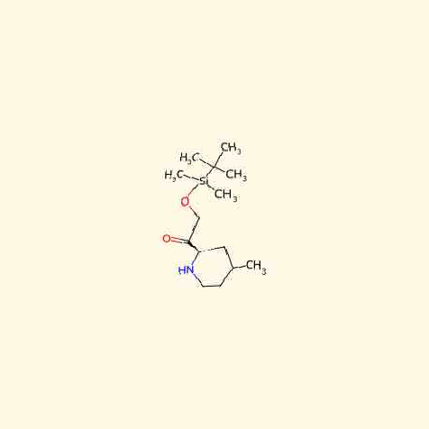 CC1CCN[C@@H](C(=O)CO[Si](C)(C)C(C)(C)C)C1